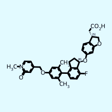 Cc1cc(OCc2ccn(C)c(=O)c2)cc(C)c1-c1ccc(F)c2c1CC[C@H]2Oc1ccc2c(c1)OC[C@H]2CC(=O)O